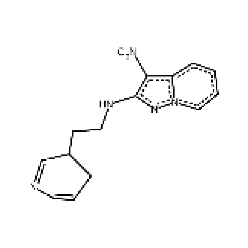 O=[N+]([O-])c1c(NCCC2C=NC=CC2)nn2ccccc12